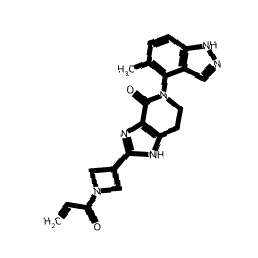 C=CC(=O)N1CC(c2nc3c([nH]2)CCN(c2c(C)ccc4[nH]ncc24)C3=O)C1